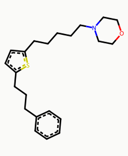 c1ccc(CCCc2ccc(CCCCCN3CCOCC3)s2)cc1